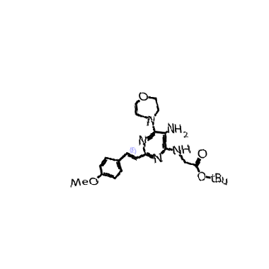 COc1ccc(/C=C/c2nc(NCC(=O)OC(C)(C)C)c(N)c(N3CCOCC3)n2)cc1